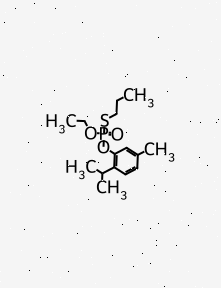 CCCSP(=O)(OCC)Oc1cc(C)ccc1C(C)C